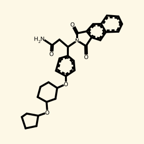 NC(=O)CC(c1ccc(OC2CCCC(OC3CCCC3)C2)cc1)N1C(=O)c2cc3ccccc3cc2C1=O